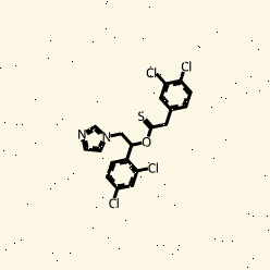 S=C(Cc1ccc(Cl)c(Cl)c1)OC(Cn1ccnc1)c1ccc(Cl)cc1Cl